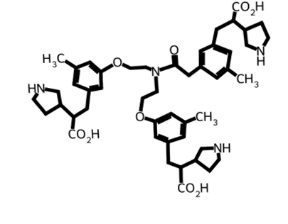 Cc1cc(CC(=O)N(CCOc2cc(C)cc(CC(C(=O)O)C3CCNC3)c2)CCOc2cc(C)cc(CC(C(=O)O)C3CCNC3)c2)cc(CC(C(=O)O)C2CCNC2)c1